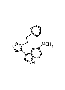 COc1ccc2[nH]cc(-c3cncn3CCc3ccccc3)c2c1